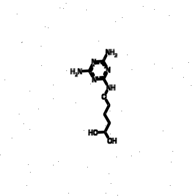 Nc1nc(N)nc(NOCCCC(O)O)n1